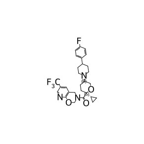 O=C(N1COc2ncc(C(F)(F)F)cc2C1)[C@@]1(C2CC2)CC[C@@H](N2CCC(c3ccc(F)cc3)CC2)CO1